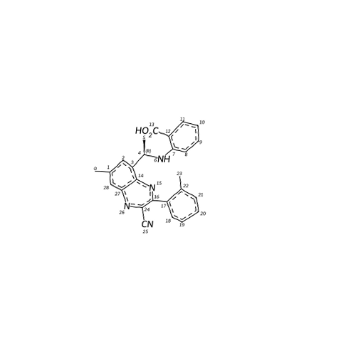 Cc1cc([C@@H](C)Nc2ccccc2C(=O)O)c2nc(-c3ccccc3C)c(C#N)nc2c1